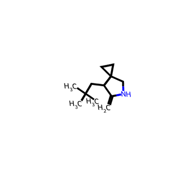 C=C1NCC2(CC2)C1CC(C)(C)C